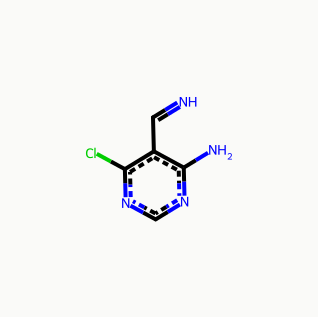 N=Cc1c(N)ncnc1Cl